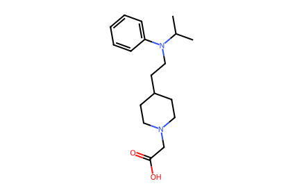 CC(C)N(CCC1CCN(CC(=O)O)CC1)c1ccccc1